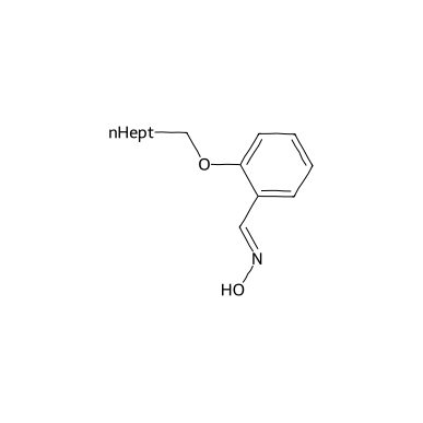 CCCCCCCCOc1ccccc1C=NO